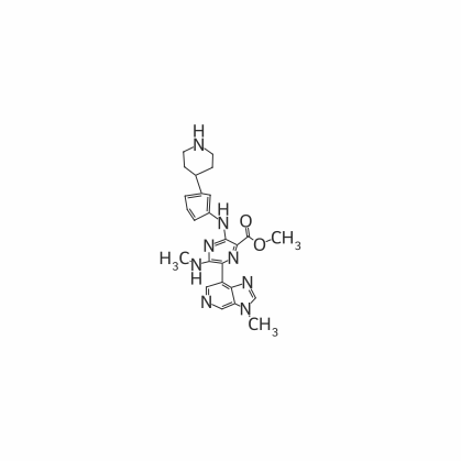 CNc1nc(Nc2cccc(C3CCNCC3)c2)c(C(=O)OC)nc1-c1cncc2c1ncn2C